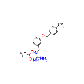 N=C(N)N(Cc1cccc(OCc2ccc(C(F)(F)F)cc2)c1)OC(=O)C(F)(F)F